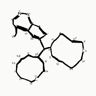 Cc1cnnc2ccc(C(C3CCCCCCCCC3)C3CCCCCCCCC3)cc12